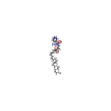 CC/C=C\C/C=C\C/C=C\C/C=C\C/C=C\C/C=C\CCC(=O)OC(C)CNC(=O)c1cccnc1